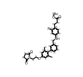 Cc1cc(OCCN2C(=O)CCC2=O)cc(C)c1-c1cccc(CNc2ccc(CCC(=O)OC(C)(C)C)c(F)c2)c1